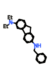 CCN(CC)c1ccc2c(c1)-c1ccc(NCc3ccccc3)cc1C2